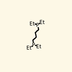 CCP(CC)CCCCP(CC)CC